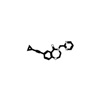 O=C1c2cc(C#CC3CC3)ccc2OCCN1Cc1ncccn1